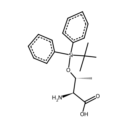 C[C@@H](O[Si](c1ccccc1)(c1ccccc1)C(C)(C)C)[C@H](N)C(=O)O